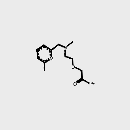 Cc1cccc(CN(C)CCOCC(=O)C(C)C)n1